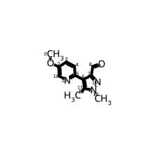 COc1ccc(-c2c(C=O)nn(C)c2C)nc1